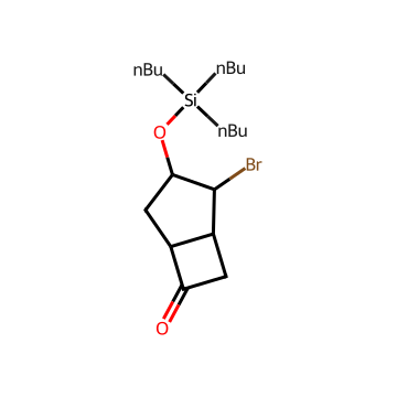 CCCC[Si](CCCC)(CCCC)OC1CC2C(=O)CC2C1Br